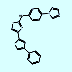 c1ccc(-c2csc(-c3csc(Nc4ccc(-n5ccnc5)cc4)n3)n2)cc1